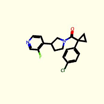 O=C(N1CCC(c2ccncc2F)C1)C1(c2ccc(Cl)cc2)CC1